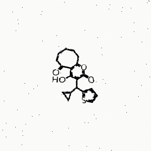 O=C1CCCCCc2oc(=O)c(C(c3cccs3)C3CC3)c(O)c21